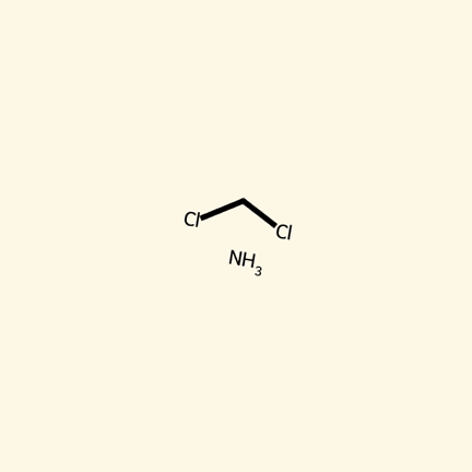 ClCCl.N